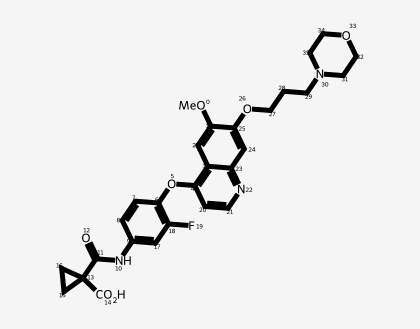 COc1cc2c(Oc3ccc(NC(=O)C4(C(=O)O)CC4)cc3F)ccnc2cc1OCCCN1CCOCC1